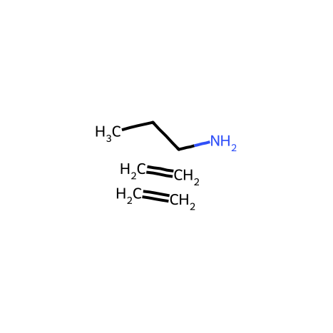 C=C.C=C.CCCN